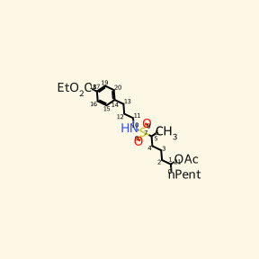 CCCCCC(CCCC(C)S(=O)(=O)NCCCc1ccc(C(=O)OCC)cc1)OC(C)=O